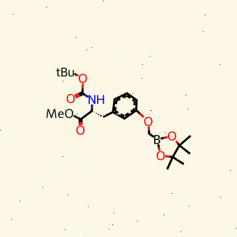 COC(=O)[C@@H](Cc1cccc(OCB2OC(C)(C)C(C)(C)O2)c1)NC(=O)OC(C)(C)C